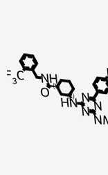 CNc1nc(N[C@@H]2CCC[C@H](C(=O)NCc3ccccc3C(F)(F)F)C2)nc(-c2ccc(F)cc2)n1